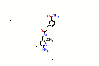 Cc1nc(N)ccc1CNC(=O)[CH]Cc1cccc(C(N)=O)c1